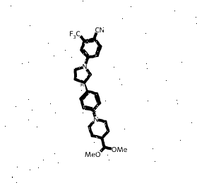 COC(OC)C1CCN(c2ccc([C@H]3CCN(c4ccc(C#N)c(C(F)(F)F)c4)C3)cc2)CC1